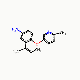 C/C=C(/C)c1cc(N)ccc1Oc1ccc(C)nc1